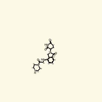 O=C1CCC(N2Cc3c(NCC(=O)N4CCNCC4)cccc3C2=O)C(=O)N1